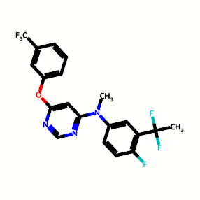 CN(c1ccc(F)c(C(C)(F)F)c1)c1cc(Oc2cccc(C(F)(F)F)c2)ncn1